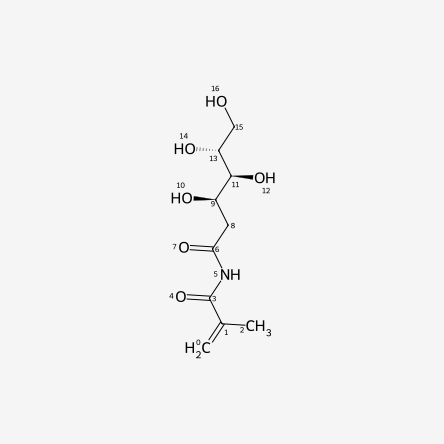 C=C(C)C(=O)NC(=O)C[C@@H](O)[C@H](O)[C@H](O)CO